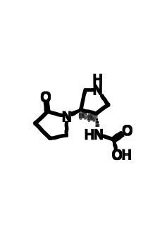 O=C(O)N[C@H]1CNC[C@@H]1N1CCCC1=O